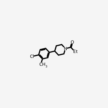 CCC(=O)N1CCC(c2ccc(Cl)c(C)c2)CC1